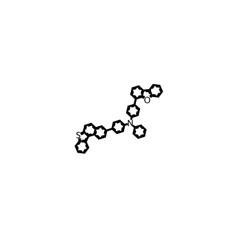 c1ccc(N(c2ccc(-c3ccc4c(ccc5sc6ccccc6c54)c3)cc2)c2ccc(-c3cccc4c3oc3ccccc34)cc2)cc1